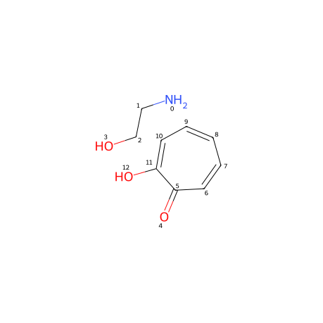 NCCO.O=c1cccccc1O